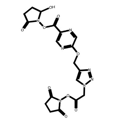 O=C(Cn1cc(COc2cnc(C(=O)ON3C(=O)CCC3O)cn2)nn1)ON1C(=O)CCC1=O